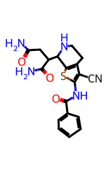 N#Cc1c(NC(=O)c2ccccc2)sc2c1CCNC2C(CC(N)=O)C(N)=O